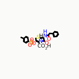 Cc1ccc(S(=O)(=O)OC2=C(C(=O)O)N3C(=O)C(NC(=O)Cc4ccccc4)[C@@H]3SC2)cc1